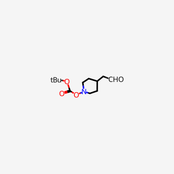 CC(C)(C)OC(=O)ON1CCC(CC=O)CC1